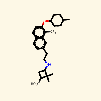 CC1CCC(Oc2ccc3ccc(CCNC4CC(C(=O)O)C4(C)C)cc3c2C(F)(F)F)CC1